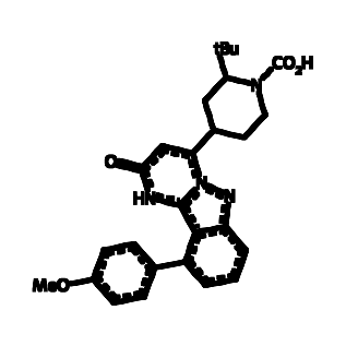 COc1ccc(-c2cccc3nn4c(C5CCN(C(=O)O)C(C(C)(C)C)C5)cc(=O)[nH]c4c23)cc1